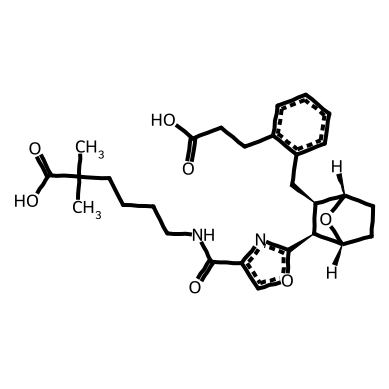 CC(C)(CCCCNC(=O)c1coc([C@H]2[C@@H](Cc3ccccc3CCC(=O)O)[C@@H]3CC[C@H]2O3)n1)C(=O)O